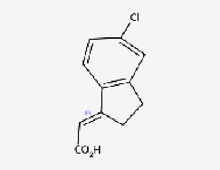 O=C(O)/C=C1\CCc2cc(Cl)ccc21